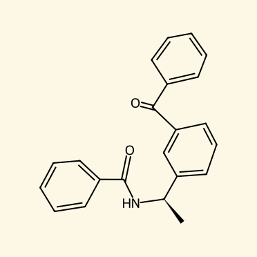 C[C@@H](NC(=O)c1ccccc1)c1cccc(C(=O)c2ccccc2)c1